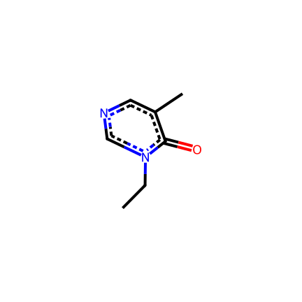 CCn1cncc(C)c1=O